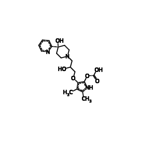 Cc1[nH]c(OC(=O)O)c(OCC(O)CN2CCC(O)(c3ccccn3)CC2)c1C